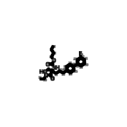 CCCCOC(=O)NC(CO)(CCCc1ccc(-c2cccc(F)c2)cc1)C(=O)OCC